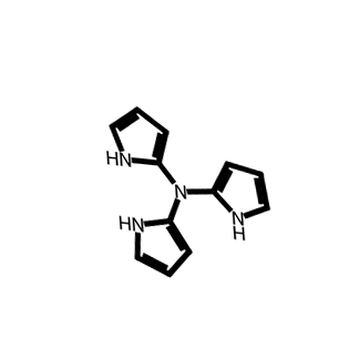 c1c[nH]c(N(c2ccc[nH]2)c2ccc[nH]2)c1